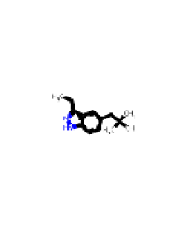 CCc1n[nH]c2ccc(CC(C)(C)C)cc12